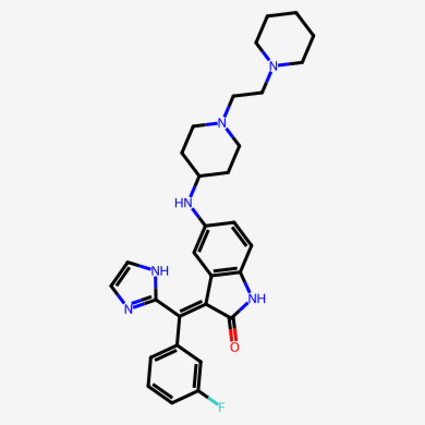 O=C1Nc2ccc(NC3CCN(CCN4CCCCC4)CC3)cc2C1=C(c1cccc(F)c1)c1ncc[nH]1